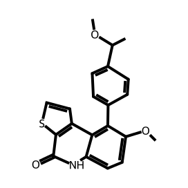 COc1ccc2[nH]c(=O)c3sccc3c2c1-c1ccc(C(C)OC)cc1